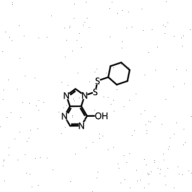 Oc1ncnc2ncn(SSC3CCCCC3)c12